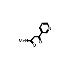 CNC(=O)CC(=O)c1cccnc1